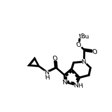 CC(C)(C)OC(=O)N1CCc2[nH]nc(C(=O)NC3CC3)c2C1